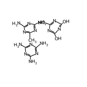 Cc1nc(N)nc(N)n1.Nc1nc(N)nc(N)n1.Oc1nc(O)nc(O)n1